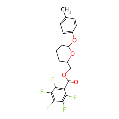 Cc1ccc(OC2CCCC(COC(=O)c3c(F)c(F)c(F)c(F)c3F)O2)cc1